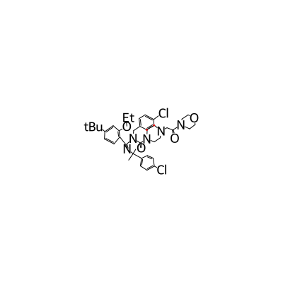 CCOc1cc(C(C)(C)C)ccc1/C(=N/C(C)(C)c1ccc(Cl)cc1)N(Cc1ccc(Cl)cc1)C(=O)N1CCN(CC(=O)N2CCOCC2)CC1